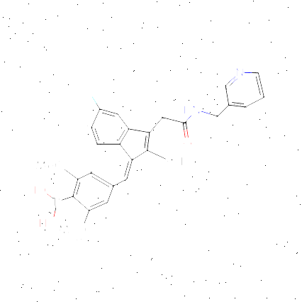 COc1cc(/C=C2/C(C)=C(CC(=O)NCc3cccnc3)c3cc(F)ccc32)cc(OC)c1B(O)O